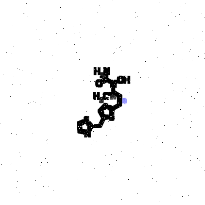 C[C@H](/C=C\c1ccc(Cc2nccs2)s1)N(O)C(N)=O